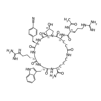 CC(=O)N[C@@H](CCCNC(=N)N)C(=O)N[C@H]1CCC(=O)NCCC[C@@H](C(N)=O)NC(=O)[C@H](Cc2c[nH]c3ccccc23)NC(=O)[C@H](CCCNC(=N)N)NC(=O)[C@@H](Cc2ccc(C#N)cc2)NC(=O)[C@@H]2C[C@@H](O)CN2C1=O